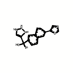 CC(C)C(O)(C1=CNNN1)c1ccc2cc(-c3cnco3)ccc2c1